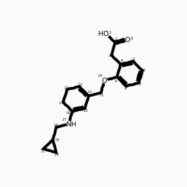 O=C(O)Cc1ccccc1OCC1=CCCC(NCC2CC2)=C1